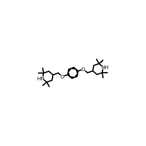 CC1(C)CC(COc2ccc(OCC3CC(C)(C)NC(C)(C)C3)cc2)CC(C)(C)N1